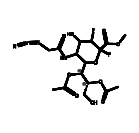 COC(=O)C1(F)OC([C@H](OC(C)=O)[C@@H](CO)OC(C)=O)C(NC(=O)CN=[N+]=[N-])C(O)C1F